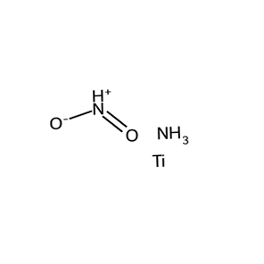 N.O=[NH+][O-].[Ti]